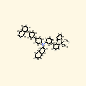 CC1(C)c2ccccc2-c2c(-c3cccc(N(c4ccc(-c5ccc(-c6cccc7ccccc67)cc5)cc4)c4ccc5ccccc5c4)c3)cccc21